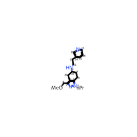 CCCn1nc(COC)c2c1CCC(NCCc1cccnc1)C2